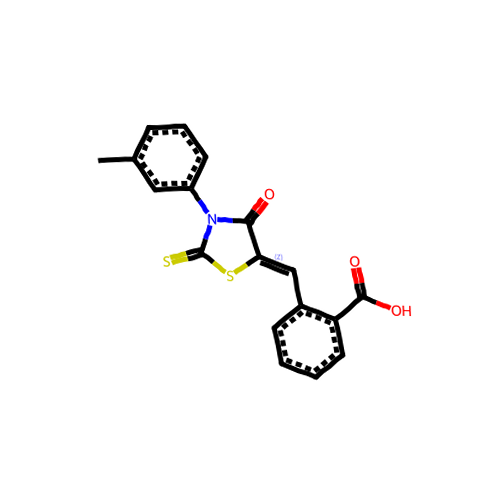 Cc1cccc(N2C(=O)/C(=C/c3ccccc3C(=O)O)SC2=S)c1